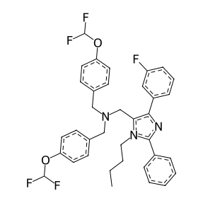 CCCCn1c(-c2ccccc2)nc(-c2cccc(F)c2)c1CN(Cc1ccc(OC(F)F)cc1)Cc1ccc(OC(F)F)cc1